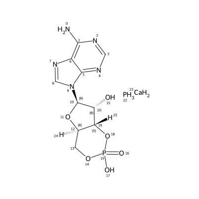 Nc1ncnc2c1ncn2[C@@H]1O[C@@H]2COP(=O)(O)O[C@H]2[C@H]1O.P.[CaH2]